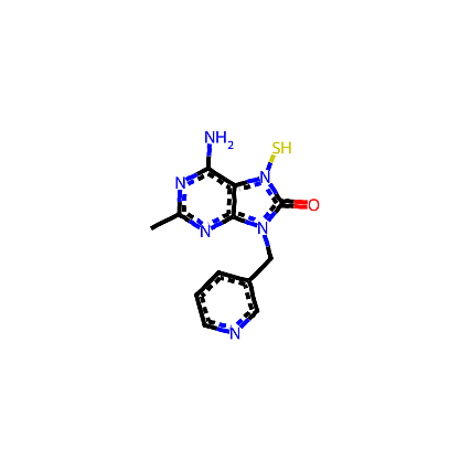 Cc1nc(N)c2c(n1)n(Cc1cccnc1)c(=O)n2S